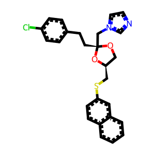 Clc1ccc(CC[C@@]2(Cn3ccnc3)OC[C@@H](CSc3ccc4ccccc4c3)O2)cc1